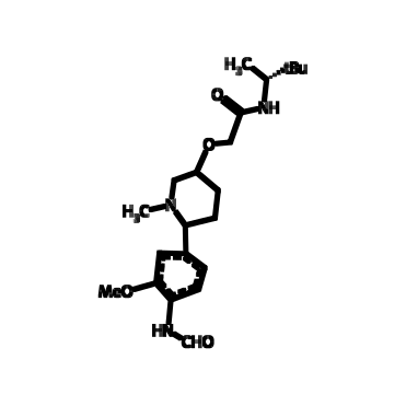 COc1cc(C2CCC(OCC(=O)N[C@H](C)C(C)(C)C)CN2C)ccc1NC=O